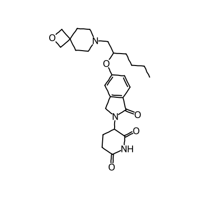 CCCCC(CN1CCC2(CC1)COC2)Oc1ccc2c(c1)CN(C1CCC(=O)NC1=O)C2=O